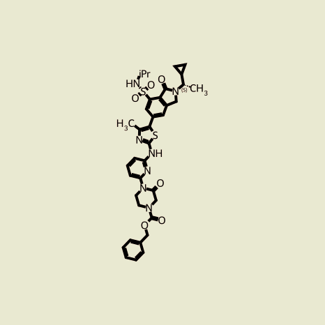 Cc1nc(Nc2cccc(N3CCN(C(=O)OCc4ccccc4)CC3=O)n2)sc1-c1cc2c(c(S(=O)(=O)NC(C)C)c1)C(=O)N([C@@H](C)C1CC1)C2